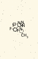 CC1CCN(c2c(-c3c(F)ccc(F)c3F)c(Cl)nc3ncnn23)CC1